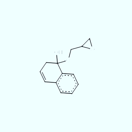 OC1(OCC2CO2)CC=Cc2ccccc21